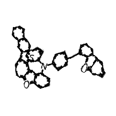 c1ccc(N(c2ccc(-c3cccc4c3oc3ccccc34)cc2)c2cccc3oc4ccc5c6cc7ccccc7cc6sc5c4c23)cc1